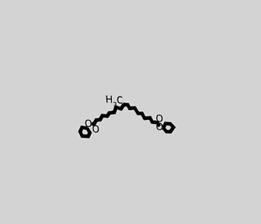 CC(CCCCCCCCC(=O)OC1CCCCC1)CCCCCCCCC(=O)OC1CCCCC1